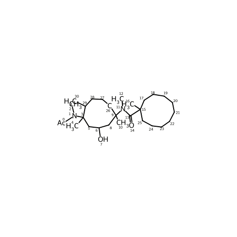 CC(=O)N(C)C1(C)CC(O)CC(C)(N(C)C(=O)C2(C)CCCCCCCCC2)CCCC1C